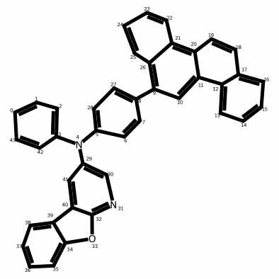 c1ccc(N(c2ccc(-c3cc4c5ccccc5ccc4c4ccccc34)cc2)c2cnc3oc4ccccc4c3c2)cc1